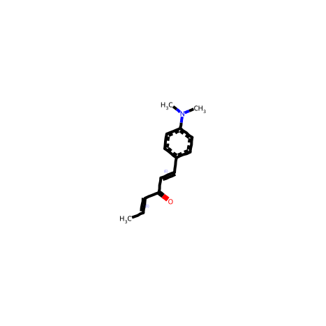 C/C=C/C(=O)/C=C/c1ccc(N(C)C)cc1